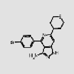 Nc1n[nH]c2cc(C3CCSCC3)nc(-c3ccc(Br)cc3)c12